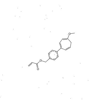 C=CC(=O)OCc1ccc(C2=CC=C(OC)CC=C2)cc1